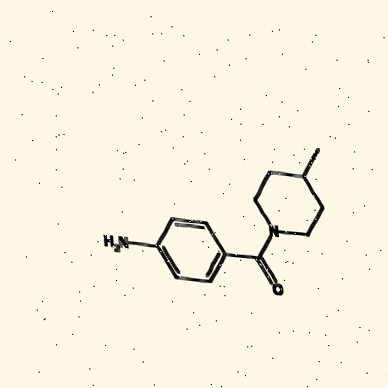 CC1CCN(C(=O)c2ccc(N)cc2)CC1